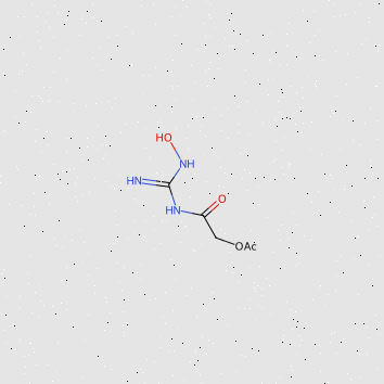 CC(=O)OCC(=O)NC(=N)NO